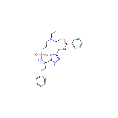 CCN(CC)CCCS(=O)(=O)N[C@H](CCc1ccccc1)c1nc(CNC(=O)c2ccccc2)n[nH]1